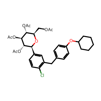 CC(=O)OC[C@H]1O[C@@H](c2ccc(Cl)c(Cc3ccc(OC4CCCCC4)cc3)c2)[C@H](OC(C)=O)[C@@H](OC(C)=O)[C@@H]1OC(C)=O